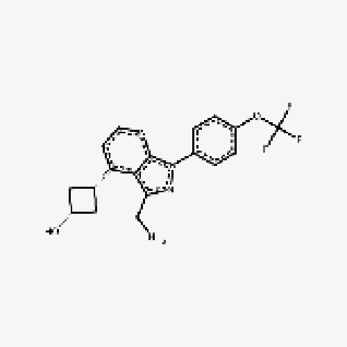 NCc1nn(-c2ccc(OC(F)(F)F)cc2)c2nccc([C@H]3C[C@@H](O)C3)c12